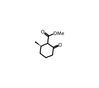 COC(=O)C1C(=O)CCC[C@H]1C